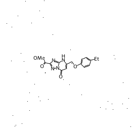 CCc1ccc(OCc2cc(=O)n3nc(C(=O)OC)nc3[nH]2)cc1